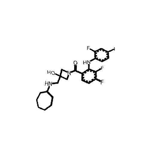 O=C(c1ccc(F)c(F)c1Nc1ccc(I)cc1F)N1CC(O)(CNC2CCCCCC2)C1